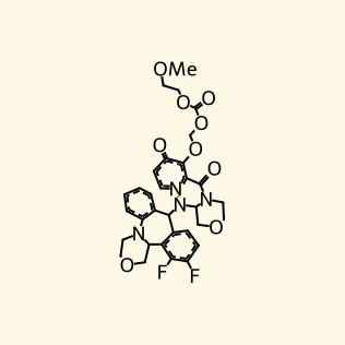 COCCOC(=O)OCOc1c2n(ccc1=O)N(C1c3ccccc3N3CCOCC3c3c1ccc(F)c3F)C1COCCN1C2=O